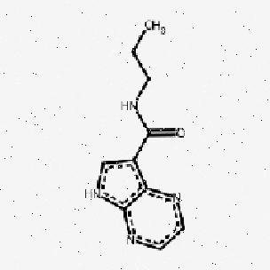 CCCNC(=O)c1c[nH]c2nccnc12